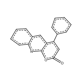 O=c1cc(-c2ccccc2)c2cc3ccccc3nc2o1